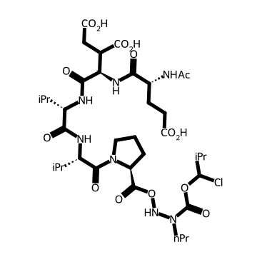 CCCN(NOC(=O)[C@@H]1CCCN1C(=O)[C@@H](NC(=O)[C@@H](NC(=O)[C@H](NC(=O)[C@@H](CCC(=O)O)NC(C)=O)C(CC(=O)O)C(=O)O)C(C)C)C(C)C)C(=O)OC(Cl)C(C)C